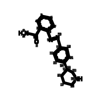 NC(=O)c1ccccc1N=Nc1ccc([C@@H]2CCCNC2)cc1